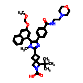 COCOc1cc(-c2c(-c3ccc(C(=O)NCCN4CCOCC4)cc3)nc(C3CC4(C3)CN(C(=O)O)C4C(C)(C)C)n2C)c2ccccc2c1